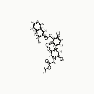 CCOC(=O)CN1CC(=O)N(c2ccc(Cl)c(COc3cc4ccccc4nc3C)c2Cl)CC1=O